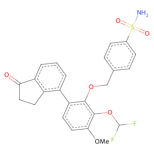 COc1ccc(-c2cccc3c2CCC3=O)c(OCc2ccc(S(N)(=O)=O)cc2)c1OC(F)F